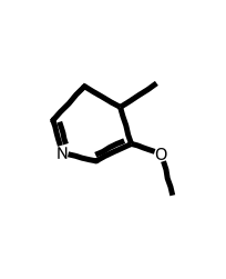 COC1=CN=CCC1C